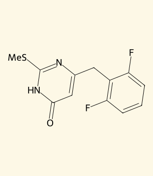 CSc1nc(Cc2c(F)cccc2F)cc(=O)[nH]1